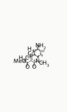 COC(=O)C1C(=O)N(C)c2ccc(N)cc2C1(C)C